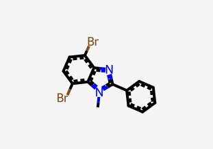 Cn1c(-c2ccccc2)nc2c(Br)ccc(Br)c21